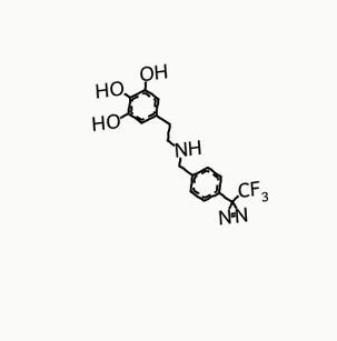 Oc1cc(CCNCc2ccc(C3(C(F)(F)F)N=N3)cc2)cc(O)c1O